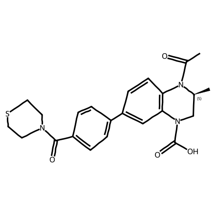 CC(=O)N1c2ccc(-c3ccc(C(=O)N4CCSCC4)cc3)cc2N(C(=O)O)C[C@@H]1C